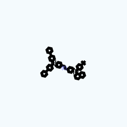 CC(C)(C)c1ccc(N(c2ccc(/C=C/c3ccc(N(c4ccc(-c5ccccc5)cc4)c4ccc(-c5ccccc5)cc4)cc3)cc2)c2cccc3ccccc23)cc1